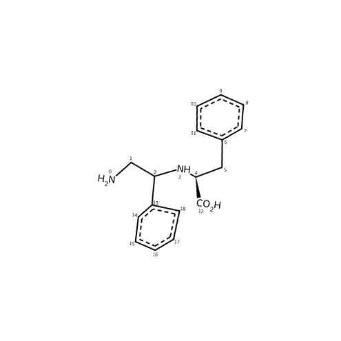 NCC(N[C@@H](Cc1ccccc1)C(=O)O)c1ccccc1